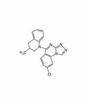 CC1Cc2ccccc2N(c2nc3nncn3c3cc(Cl)ccc23)C1